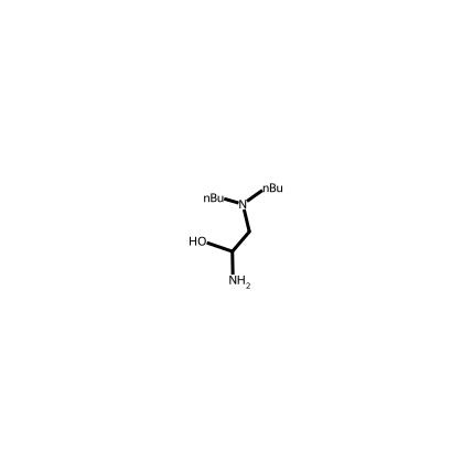 CCCCN(CCCC)CC(N)O